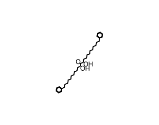 O=C(C(O)CCCCCCCCCCc1ccccc1)C(O)CCCCCCCCCCc1ccccc1